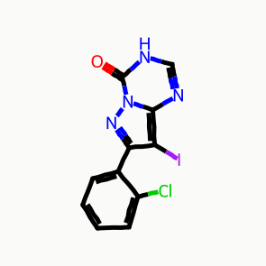 O=c1[nH]cnc2c(I)c(-c3ccccc3Cl)nn12